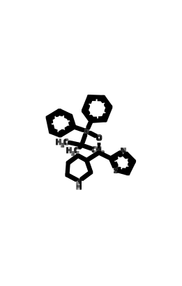 CC(C)(C)[Si](O[C@H](c1nccs1)C1CCCNC1)(c1ccccc1)c1ccccc1